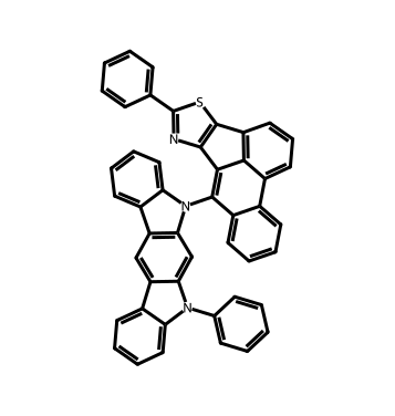 c1ccc(-c2nc3c(s2)-c2cccc4c2c-3c(-n2c3ccccc3c3cc5c6ccccc6n(-c6ccccc6)c5cc32)c2ccccc24)cc1